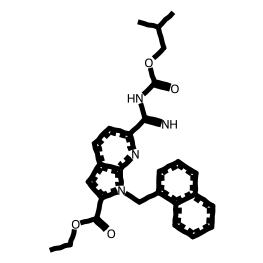 CCOC(=O)c1cc2ccc(C(=N)NC(=O)OCC(C)C)nc2n1Cc1cccc2ccccc12